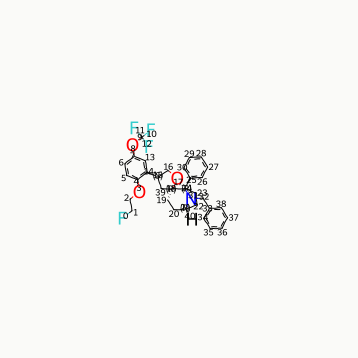 FCCOc1ccc(OC(F)(F)F)cc1[C@H]1CO[C@]2(CC[C@H]3CC[C@]2(c2ccccc2)N3Cc2ccccc2)C1